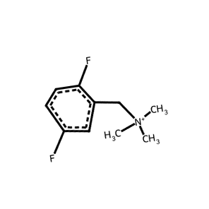 C[N+](C)(C)Cc1cc(F)ccc1F